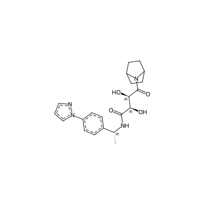 C[C@@H](NC(=O)[C@H](O)[C@@H](O)C(=O)N1C2CCC1CC2)c1ccc(-n2cccn2)cc1